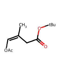 CC(=O)OC=C(C)CC(=O)OC(C)(C)C